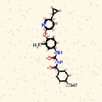 COC1CCC(C(=O)NC(=O)Nc2ccc(Oc3ccc(C4CC4)cn3)c(C)c2)CC1